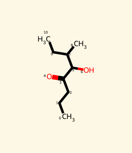 CCCC(=O)C(O)C(C)CC